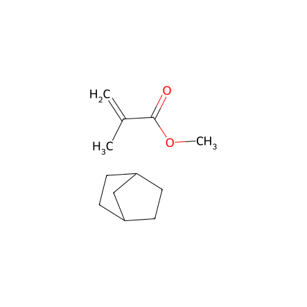 C1CC2CCC1C2.C=C(C)C(=O)OC